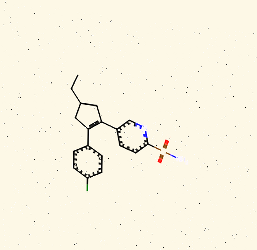 CCC1CC(c2ccc(F)cc2)=C(c2ccc(S(N)(=O)=O)nc2)C1